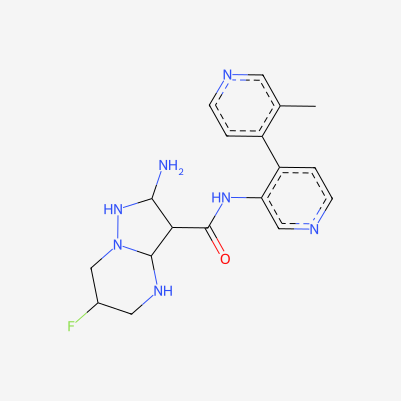 Cc1cnccc1-c1ccncc1NC(=O)C1C(N)NN2CC(F)CNC12